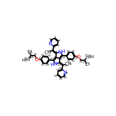 [C-]#[N+]/C(c1ccccn1)=c1/[nH]c(-c2ccc(OCC(CC)CCCC)cc2)c2/c(=C(\C#N)c3ccccn3)[nH]c(-c3ccc(OCC(CC)CCCC)cc3)c12